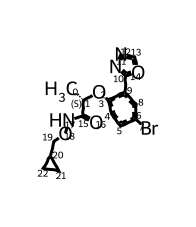 C[C@H](Oc1ccc(Br)cc1-c1nnco1)C(=O)NOCC1CC1